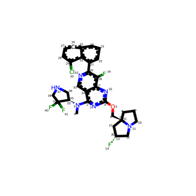 CN(c1nc(OC[C@@]23CCCN2C[C@H](F)C3)nc2c(F)c(-c3cccc4cccc(Cl)c34)ncc12)[C@H]1CNCC1(F)F